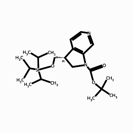 CC(C)[Si](OC[C@H]1CN(C(=O)OC(C)(C)C)c2cnccc21)(C(C)C)C(C)C